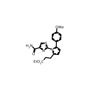 CCOC(=O)CCc1ccc(-c2ccc(OC)cc2)n1-c1nc(C(N)=O)cs1